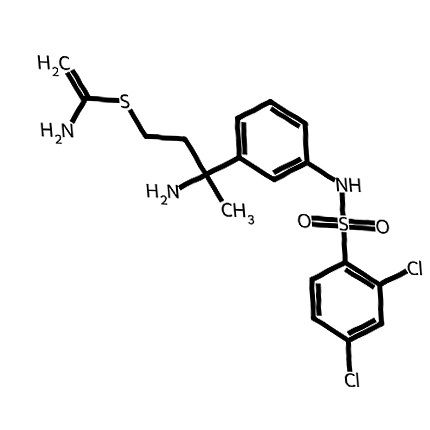 C=C(N)SCCC(C)(N)c1cccc(NS(=O)(=O)c2ccc(Cl)cc2Cl)c1